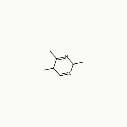 CC1=NN(C)N=CC1C